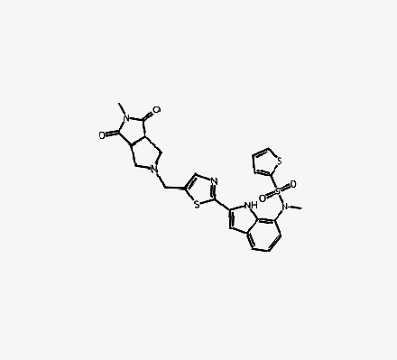 CN1C(=O)C2CN(Cc3cnc(-c4cc5cccc(N(C)S(=O)(=O)c6cccs6)c5[nH]4)s3)CC2C1=O